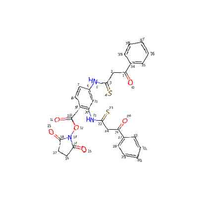 O=C(CC(=S)Nc1ccc(C(=O)ON2C(=O)CCC2=O)c(NC(=S)CC(=O)c2ccccc2)c1)c1ccccc1